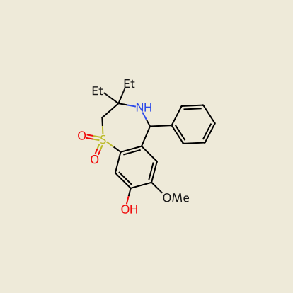 CCC1(CC)CS(=O)(=O)c2cc(O)c(OC)cc2C(c2ccccc2)N1